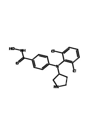 O=C(NO)c1ccc(N(c2c(Cl)cccc2Cl)C2CCNC2)cc1